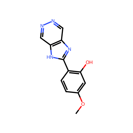 COc1ccc(-c2nc3cnncc3[nH]2)c(O)c1